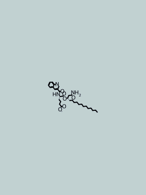 CCCCCCCCCCCCC[C@@H](CC(N)=O)OC(=O)[C@H](CCCC(=O)OC)NC(=O)c1cnc2ccccc2c1